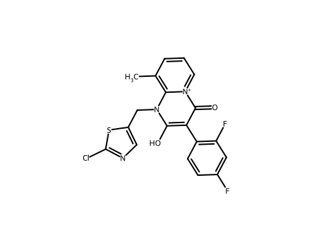 Cc1ccc[n+]2c(=O)c(-c3ccc(F)cc3F)c(O)n(Cc3cnc(Cl)s3)c12